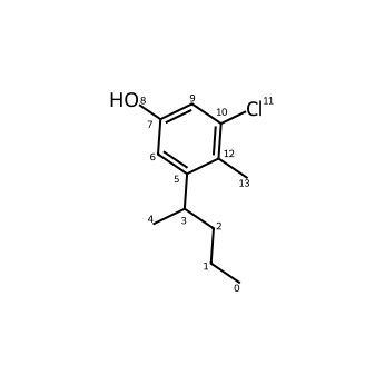 CCCC(C)c1cc(O)cc(Cl)c1C